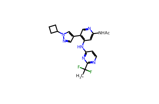 CC(=O)Nc1cc(Nc2ccnc(C(C)(F)F)n2)c(-c2cnn(C3CCC3)c2)cn1